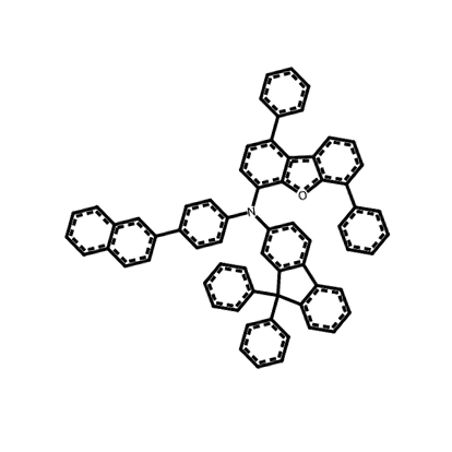 c1ccc(-c2cccc3c2oc2c(N(c4ccc(-c5ccc6ccccc6c5)cc4)c4ccc5c(c4)C(c4ccccc4)(c4ccccc4)c4ccccc4-5)ccc(-c4ccccc4)c23)cc1